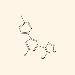 CCc1cc(-c2ccc(F)cc2)cc(-c2nn[nH]c2C#N)c1